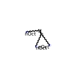 CCCCCCCC/C=C\CCCCCCCCN(C)CCN(CCCCCCCC/C=C\CCCCCCCC)CCCCCCCC/C=C\CCCCCCCC